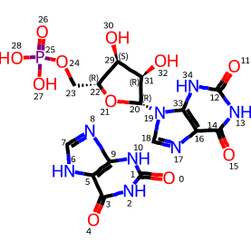 O=c1[nH]c(=O)c2[nH]cnc2[nH]1.O=c1[nH]c(=O)c2ncn([C@@H]3O[C@H](COP(=O)(O)O)[C@@H](O)[C@H]3O)c2[nH]1